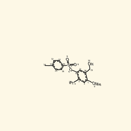 COc1cc(C(C)C)c(OS(=O)(=O)c2ccc(C)cc2)cc1CO